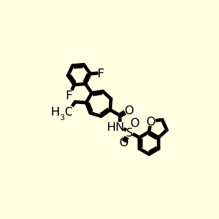 CCC1=CC=C(C(=O)NS(=O)(=O)c2cccc3c2OCC3)CC=C1c1c(F)cccc1F